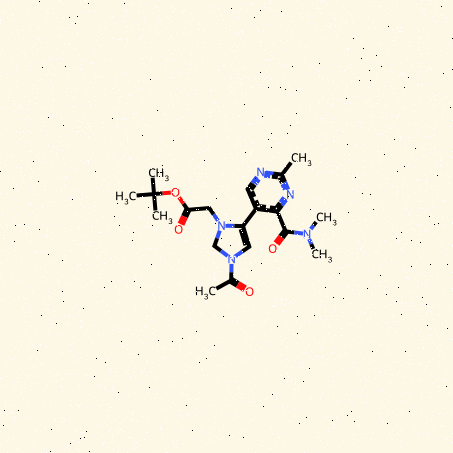 CC(=O)N1C=C(c2cnc(C)nc2C(=O)N(C)C)N(CC(=O)OC(C)(C)C)C1